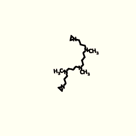 CN(CCCCN(C)CCCN1CC1)CCCN(C)CCCN1CC1